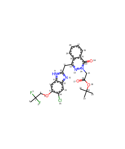 CC(F)(F)COc1cc2[nH]c(Cc3nn(CC(=O)OC(C)(C)C)c(=O)c4ccccc34)nc2cc1Cl